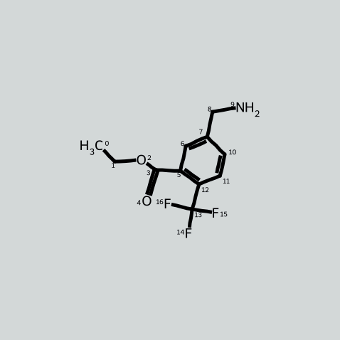 CCOC(=O)c1cc(CN)ccc1C(F)(F)F